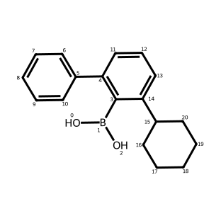 OB(O)c1c(-c2ccccc2)cccc1C1CCCCC1